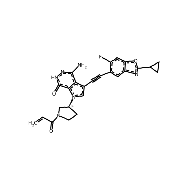 C=CC(=O)N1CC[C@H](n2cc(C#Cc3cc4nc(C5CC5)oc4cc3F)c3c(N)n[nH]c(=O)c32)C1